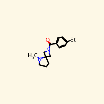 CCc1ccc(C(=O)N2CC3(CCCN3C)C2)cc1